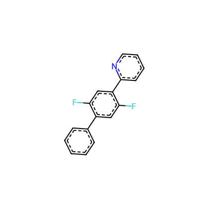 Fc1cc(-c2ccccn2)c(F)cc1-c1ccccc1